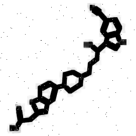 N#Cc1ccc2[nH]cc(C(O)CCCN3CCN(c4ccc5oc(CC(=O)O)cc5c4)CC3)c2c1